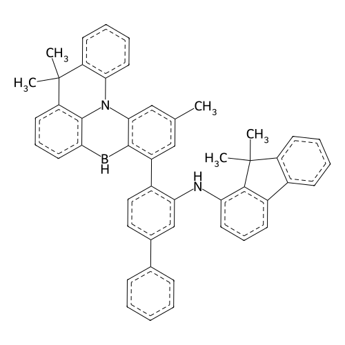 Cc1cc(-c2ccc(-c3ccccc3)cc2Nc2cccc3c2C(C)(C)c2ccccc2-3)c2c(c1)N1c3ccccc3C(C)(C)c3cccc(c31)B2